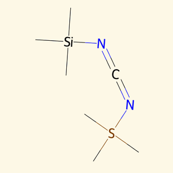 C[Si](C)(C)N=C=NS(C)(C)C